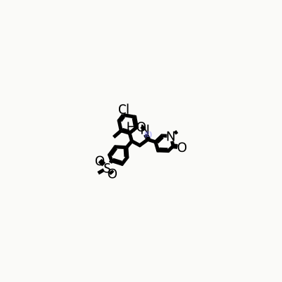 Cc1cc(Cl)ccc1C(C/C(=N\O)c1ccc(=O)n(C)c1)c1ccc(S(C)(=O)=O)cc1